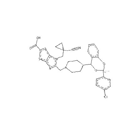 C[C@@]1(c2ccc(Cl)cn2)Oc2ccccc2C(C2CCN(Cc3nc4sc(C(=O)O)cc4n3CC3(C#N)CC3)CC2)O1